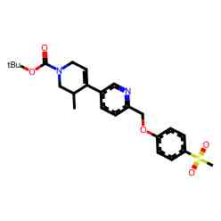 CC1CN(C(=O)OC(C)(C)C)CC=C1c1ccc(COc2ccc(S(C)(=O)=O)cc2)nc1